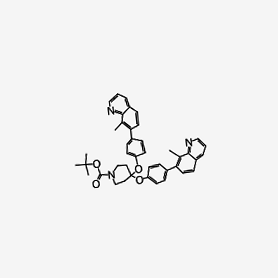 Cc1c(-c2ccc(OC3(Oc4ccc(-c5ccc6cccnc6c5C)cc4)CCN(C(=O)OC(C)(C)C)CC3)cc2)ccc2cccnc12